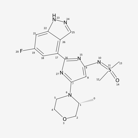 C[C@@H]1COCCN1c1cc(N=S(C)(C)=O)nc(-c2cc(F)cc3[nH]ncc23)n1